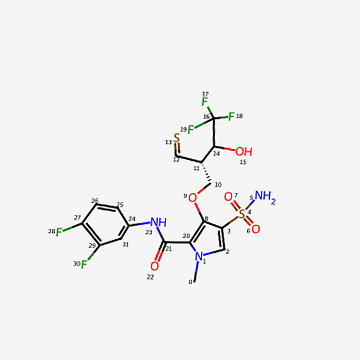 Cn1cc(S(N)(=O)=O)c(OC[C@H](C=S)C(O)C(F)(F)F)c1C(=O)Nc1ccc(F)c(F)c1